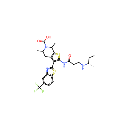 CC[C@H](C)NCCC(=O)Nc1sc2c(c1-c1nc3cc(C(F)(F)F)ccc3s1)CC(C)N(C(=O)O)C2C